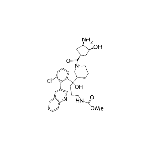 COC(=O)NCCC[C@@](O)(c1cccc(Cl)c1-c1cnc2ccccc2c1)[C@@H]1CCCN(C(=O)[C@H]2C[C@@H](N)[C@@H](O)C2)C1